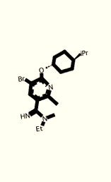 CCN(C)C(=N)c1cc(Br)c(O[C@H]2CC[C@H](C(C)C)CC2)nc1C